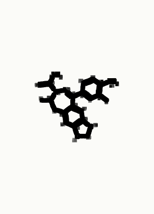 Cc1cc(C2=NN(C(N)=S)C(C)Cc3cc4c(cc32)OCO4)ccc1[N+](=O)[O-]